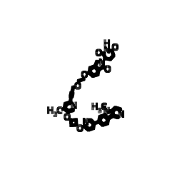 Cc1cc(C#CCOCCOc2ccc3c(c2)CN(C2CCC(=O)NC2=O)C3=O)ncc1OC1CC(Oc2ccc(-c3ccc4c5cnccc5n(C)c4c3)cn2)C1